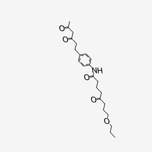 CCCOCCCC(=O)CCCC(=O)Nc1ccc(CCC(=O)CC(C)=O)cc1